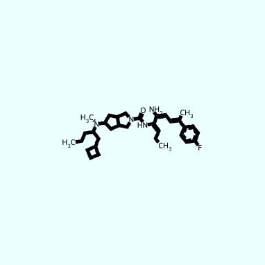 CC/C=C(NC(=O)N1CC2CC(N(C)C(CCC)CC3CCC3)CC2C1)/C(N)=C\C=C(/C)c1ccc(F)cc1